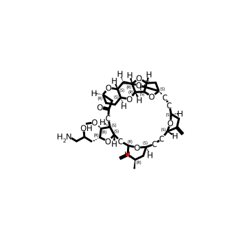 C=C1C[C@@H]2CC[C@@]34C[C@H]5O[C@H]6[C@@H](O3)[C@H]3O[C@H](CC[C@@H]3O[C@H]6[C@H]5O4)CC(=O)C[C@@H]3[C@@H](OC)[C@@H](CC(O)CN)O[C@H]3C[C@H]3O[C@@H](CC[C@@H]1O2)C[C@@H](C)C3=C